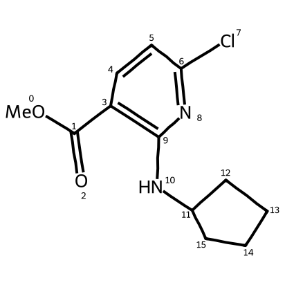 COC(=O)c1ccc(Cl)nc1NC1CCCC1